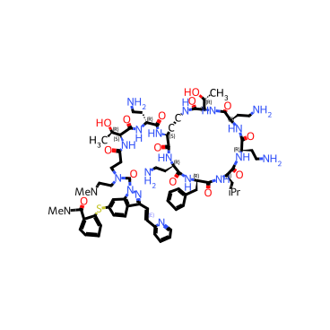 CNCCN(CCC(=O)N[C@H](C(=O)N[C@H](CCN)C(=O)N[C@H]1CCNC(=O)[C@@H]([C@@H](C)O)NC(=O)[C@@H](CCN)NC(=O)[C@@H](CCN)NC(=O)[C@@H](CC(C)C)NC(=O)[C@@H](Cc2ccccc2)NC(=O)[C@@H](CCN)NC1=O)[C@@H](C)O)C(=O)n1nc(/C=C/c2ccccn2)c2ccc(Sc3ccccc3C(=O)NC)cc21